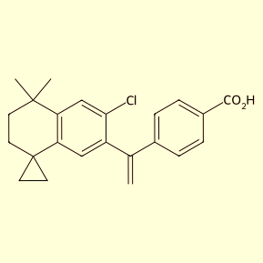 C=C(c1ccc(C(=O)O)cc1)c1cc2c(cc1Cl)C(C)(C)CCC21CC1